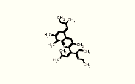 C=CC(=C\CC)/C(=C/C(C)C)c1ncc(C(/C=C(/C)C(=C)C)=C/C(C)CC)cc1C